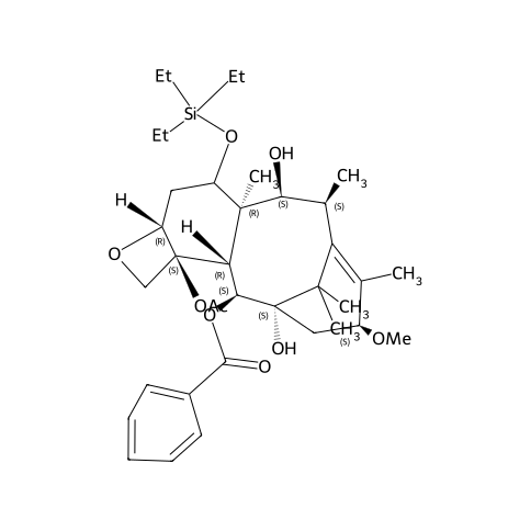 CC[Si](CC)(CC)OC1C[C@H]2OC[C@@]2(OC(C)=O)[C@H]2[C@H](OC(=O)c3ccccc3)[C@]3(O)C[C@H](OC)C(C)=C([C@H](C)[C@H](O)[C@]12C)C3(C)C